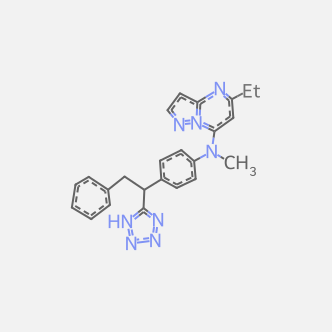 CCc1cc(N(C)c2ccc(C(Cc3ccccc3)c3nnn[nH]3)cc2)n2nccc2n1